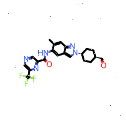 Cc1cc2nn([C@H]3CC[C@H](C=O)CC3)cc2cc1NC(=O)c1cncc(C(F)(F)F)n1